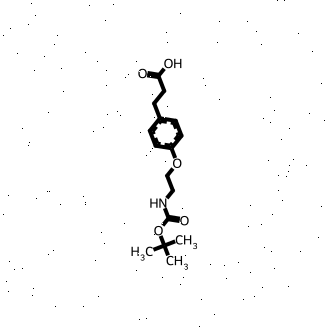 CC(C)(C)OC(=O)NCCOc1ccc(CCC(=O)O)cc1